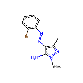 CCCCCCn1nc(C)c(N=Nc2ccccc2Br)c1N